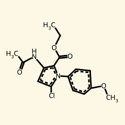 CCOC(=O)c1c(NC(C)=O)cc(Cl)n1-c1ccc(OC)cc1